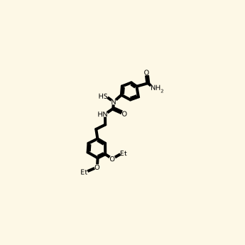 CCOc1ccc(CCNC(=O)N(S)c2ccc(C(N)=O)cc2)cc1OCC